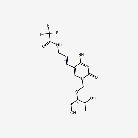 CC(O)[C@@H](CO)OCn1cc(/C=C/CNC(=O)C(F)(F)F)c(N)nc1=O